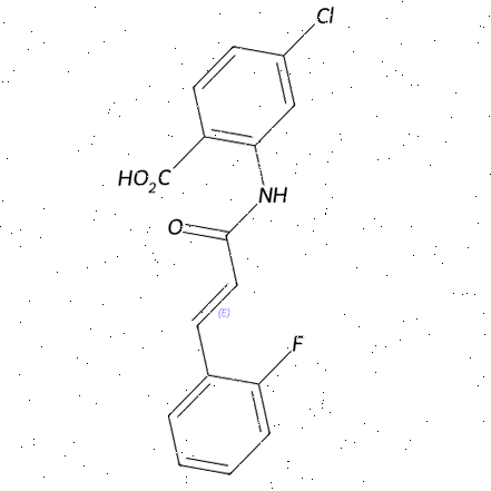 O=C(/C=C/c1ccccc1F)Nc1cc(Cl)ccc1C(=O)O